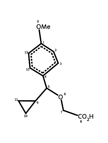 COc1ccc(C(OCC(=O)O)C2CC2)cc1